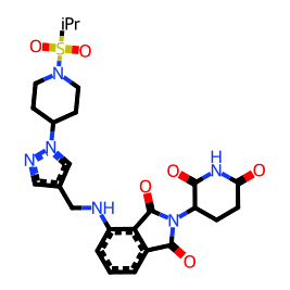 CC(C)S(=O)(=O)N1CCC(n2cc(CNc3cccc4c3C(=O)N(C3CCC(=O)NC3=O)C4=O)cn2)CC1